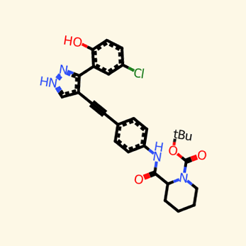 CC(C)(C)OC(=O)N1CCCCC1C(=O)Nc1ccc(C#Cc2c[nH]nc2-c2cc(Cl)ccc2O)cc1